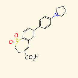 O=C(O)C1=Cc2cc(-c3ccc(N4CCCC4)cc3)ccc2S(=O)(=O)CC1